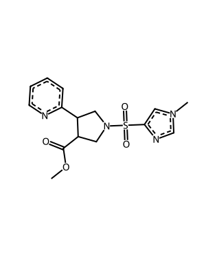 COC(=O)C1CN(S(=O)(=O)c2cn(C)cn2)CC1c1ccccn1